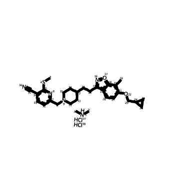 CNC.CSc1nc(CN2CCC(CCc3noc4c(C)c(OCC5CC5)ccc34)CC2)ccc1C#N.Cl.Cl